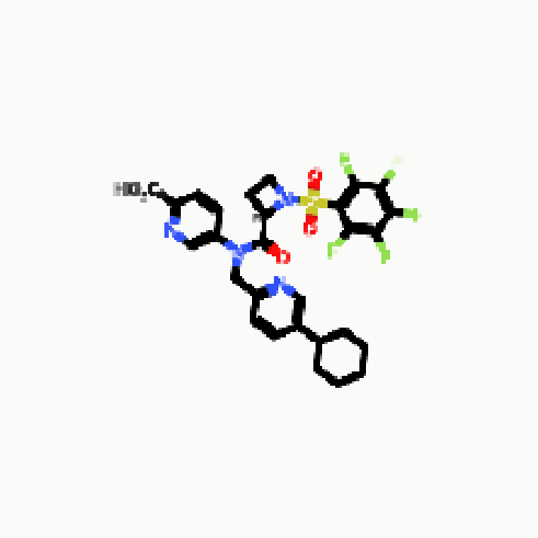 O=C(O)c1ccc(N(Cc2ccc(C3CCCCC3)cn2)C(=O)[C@H]2CCN2S(=O)(=O)c2c(F)c(F)c(F)c(F)c2F)cn1